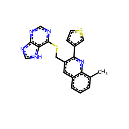 Cc1cccc2cc(CSc3ncnc4nc[nH]c34)c(-c3ccsc3)nc12